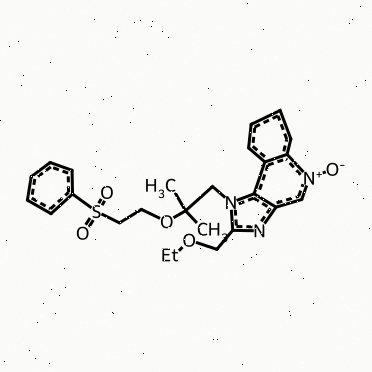 CCOCc1nc2c[n+]([O-])c3ccccc3c2n1CC(C)(C)OCCS(=O)(=O)c1ccccc1